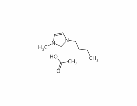 CC(=O)O.CCCCN1C=CN(C)C1